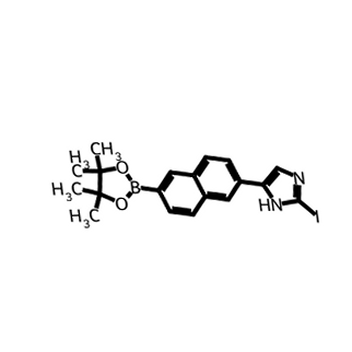 CC1(C)OB(c2ccc3cc(-c4cnc(I)[nH]4)ccc3c2)OC1(C)C